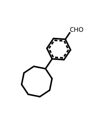 O=Cc1ccc(C2CCCCCCC2)cc1